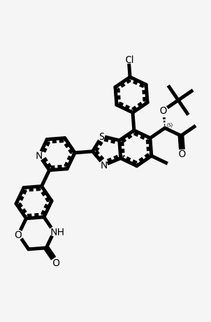 CC(=O)[C@@H](OC(C)(C)C)c1c(C)cc2nc(-c3ccnc(-c4ccc5c(c4)NC(=O)CO5)c3)sc2c1-c1ccc(Cl)cc1